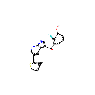 O=C(c1cccc(OC(F)(F)F)c1F)c1c[nH]c2ncc(-c3cccs3)cc12